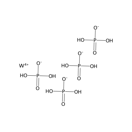 O=P([O-])(O)O.O=P([O-])(O)O.O=P([O-])(O)O.O=P([O-])(O)O.[W+4]